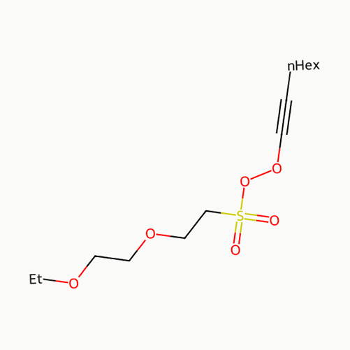 CCCCCCC#COOS(=O)(=O)CCOCCOCC